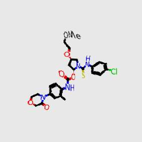 COCCO[C@@H]1C[C@@H](OC(=O)Nc2ccc(N3CCOCC3=O)cc2C)N(C(=S)Nc2ccc(Cl)cc2)C1